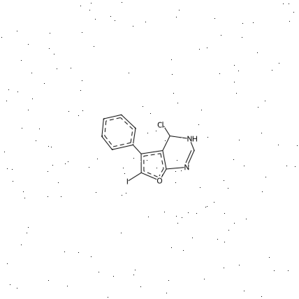 ClC1NC=Nc2oc(I)c(-c3ccccc3)c21